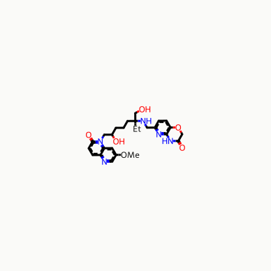 CCC(CO)(CCCC(O)Cn1c(=O)ccc2ncc(OC)cc21)NCc1ccc2c(n1)NC(=O)CO2